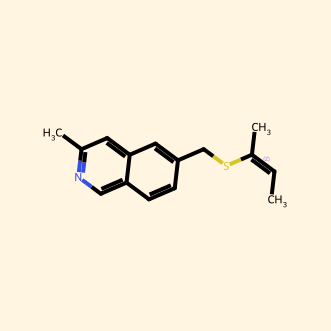 C/C=C(/C)SCc1ccc2cnc(C)cc2c1